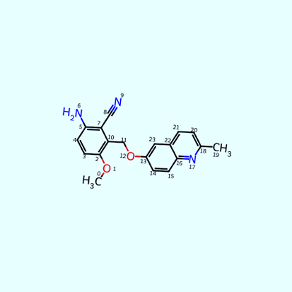 COc1ccc(N)c(C#N)c1COc1ccc2nc(C)ccc2c1